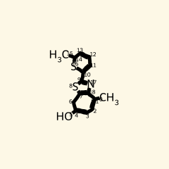 CC1=CC=C(O)Cc2sc(C3=CC=CC(C)S3)nc21